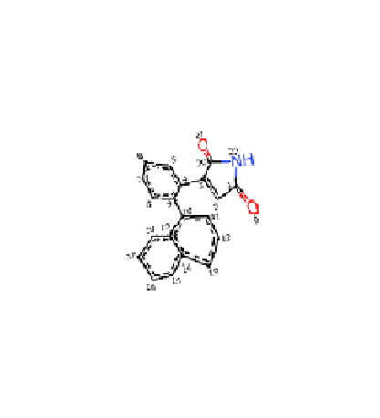 O=C1C=C(c2ccccc2-c2cccc3ccccc23)C(=O)N1